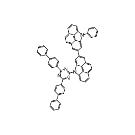 c1ccc(-c2ccc(-c3nc(-c4ccc(-c5ccccc5)cc4)nc(-n4c5cccc6ccc7cc(-c8cc9ccc%10cccc%11c%10c9c(c8)n%11-c8ccccc8)cc4c7c65)n3)cc2)cc1